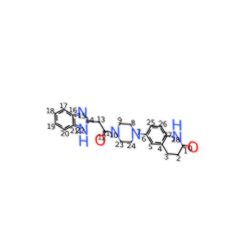 O=C1CCc2cc(N3CCN(C(=O)Cc4nc5ccccc5[nH]4)CC3)ccc2N1